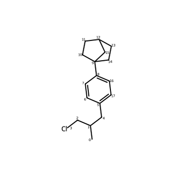 CC(CCl)Cc1ccc(C23CCC(CC2)C3)cc1